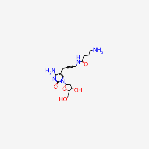 NCCCC(=O)NCC#CCc1cn([C@H]2C[C@H](O)[C@@H](CO)O2)c(=O)nc1N